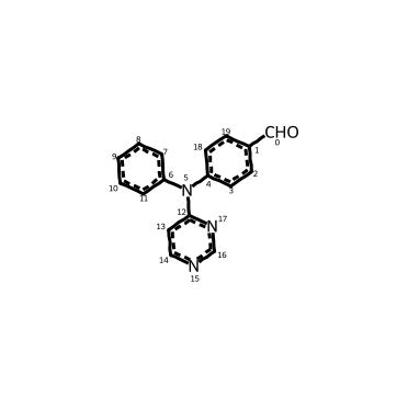 O=Cc1ccc(N(c2ccccc2)c2ccncn2)cc1